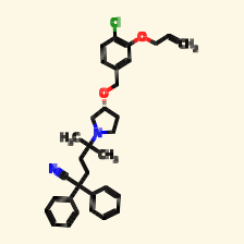 C=CCOc1cc(CO[C@@H]2CCN(C(C)(C)CCC(C#N)(c3ccccc3)c3ccccc3)C2)ccc1Cl